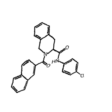 O=C(Nc1ccc(Cl)cc1)C1Cc2ccccc2CN1C(=O)c1ccc2ccccc2c1